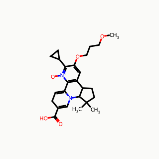 COCCCOc1cc2c([n+]([O-])c1C1CC1)C1=CCC(C(=O)O)=CN1C1C2CCC1(C)C